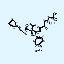 CC(C)c1c(C(=O)N(C)CCc2ccccc2)nn(-c2ccc(F)cc2)c1CC[C@@H](O)C[C@@H](O)CC(=O)O.[NaH]